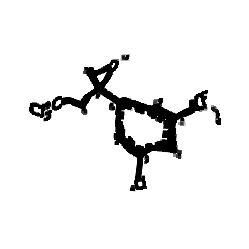 FC(F)(F)c1cc(Cl)cc(C2(CC(Cl)(Cl)Cl)CO2)c1